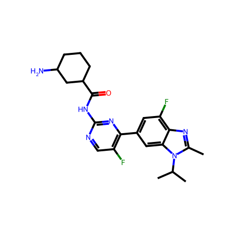 Cc1nc2c(F)cc(-c3nc(NC(=O)C4CCCC(N)C4)ncc3F)cc2n1C(C)C